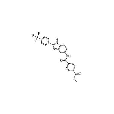 COC(=O)c1ccc(C(=O)Nc2ccc3[nH]c(-c4ccc(C(F)(F)F)cc4)nc3c2)cc1